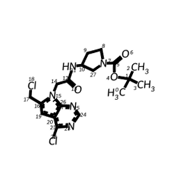 CC(C)(C)OC(=O)N1CCC(NC(=O)Cn2c(CCl)cc3c(Cl)ncnc32)C1